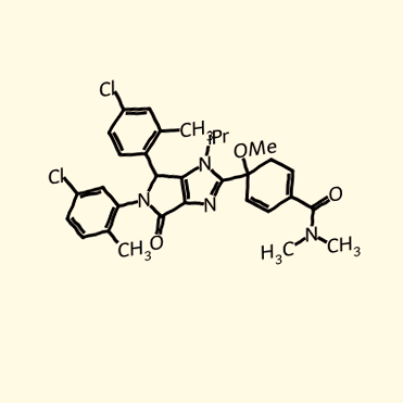 COC1(c2nc3c(n2C(C)C)C(c2ccc(Cl)cc2C)N(c2cc(Cl)ccc2C)C3=O)C=CC(C(=O)N(C)C)=CC1